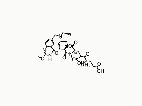 C#CCN(Cc1ccc2nc(OC)[nH]c(=O)c2c1)c1ccc(C(=O)N(C)[C@@H](CC(C(=O)O)C(=O)[C@@H](N)CCC(=O)O)C(=O)O)cc1